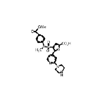 COC(=O)c1ccc(N(C)S(=O)(=O)c2cc(C(=O)O)sc2-c2ccnc(N3CCNCC3)c2)cc1